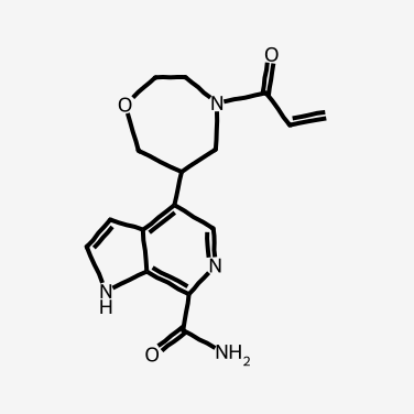 C=CC(=O)N1CCOCC(c2cnc(C(N)=O)c3[nH]ccc23)C1